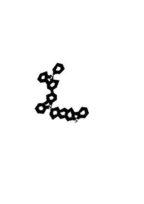 c1ccc(-n2c3ccccc3c3cc(-c4ccc5c(c4)c4ccccc4n5-c4ccc5cc6cc7sc8ccccc8c7cc6cc5c4)ccc32)cc1